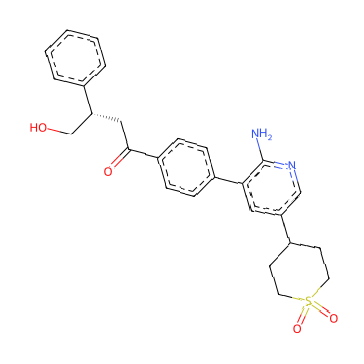 Nc1ncc(C2CCS(=O)(=O)CC2)cc1-c1ccc(C(=O)C[C@H](CO)c2ccccc2)cc1